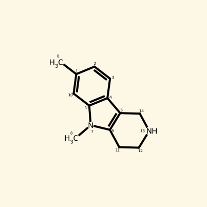 Cc1ccc2c3c(n(C)c2c1)CCNC3